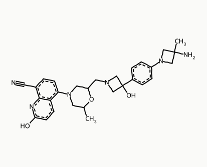 CC1CN(c2ccc(C#N)c3nc(O)ccc23)CC(CN2CC(O)(c3ccc(N4CC(C)(N)C4)cc3)C2)O1